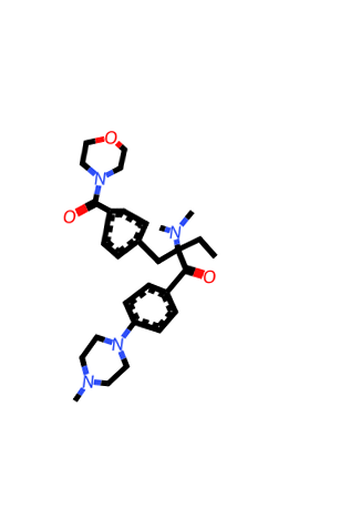 CCC(Cc1ccc(C(=O)N2CCOCC2)cc1)(C(=O)c1ccc(N2CCN(C)CC2)cc1)N(C)C